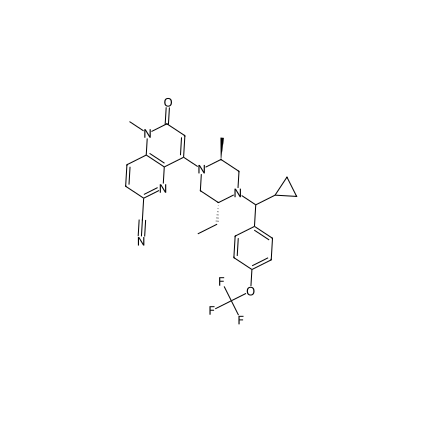 CC[C@@H]1CN(c2cc(=O)n(C)c3ccc(C#N)nc23)[C@@H](C)CN1C(c1ccc(OC(F)(F)F)cc1)C1CC1